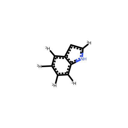 [2H]c1cc2c([2H])c([2H])c([2H])c([2H])c2[nH]1